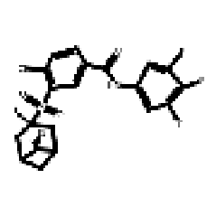 CC[C@]1(O)C2CC1C[C@@H](S(=O)(=O)c1cc(C(=O)Nc3cc(F)c(F)c(F)c3)ccc1Cl)C2